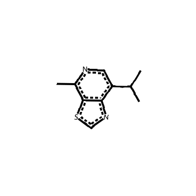 Cc1ncc(C(C)C)c2ncsc12